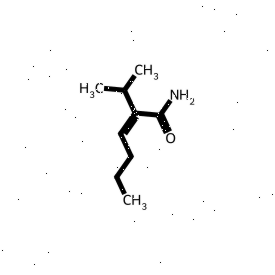 CCCC=C(C(N)=O)C(C)C